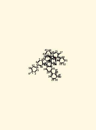 Cc1ccc(-c2ccc3c4ccc(-c5ccc(C)cc5)cc4n(-c4ccc(-c5cccc(F)c5F)cc4-c4nc(-c5ccccc5)nc(-c5ccccc5)n4)c3c2)cc1